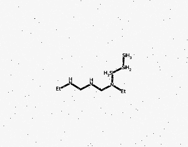 CCNCNCN(CC)[SiH2][SiH2][SiH3]